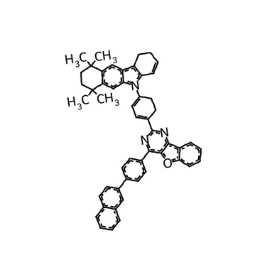 CC1(C)CCC(C)(C)c2cc3c(cc21)c1c(n3C2=CC=C(c3nc(-c4ccc(-c5ccc6ccccc6c5)cc4)c4oc5ccccc5c4n3)CC2)C=CCC1